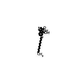 CCCCCCCCCCCCOc1cccc(C2(CO)NC(=O)c3cnccc32)c1